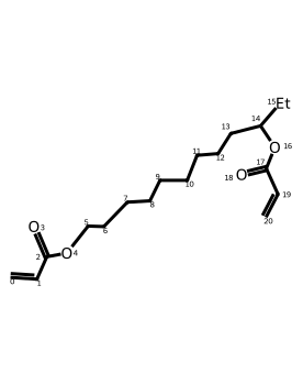 C=CC(=O)OCCCCCCCCCC(CC)OC(=O)C=C